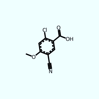 COc1cc(Cl)c(C(=O)O)cc1C#N